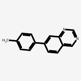 Cc1ccc(-c2ccc3cncnc3c2)cc1